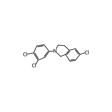 Clc1ccc2c(c1)CCN(c1ccc(Cl)c(Cl)c1)C2